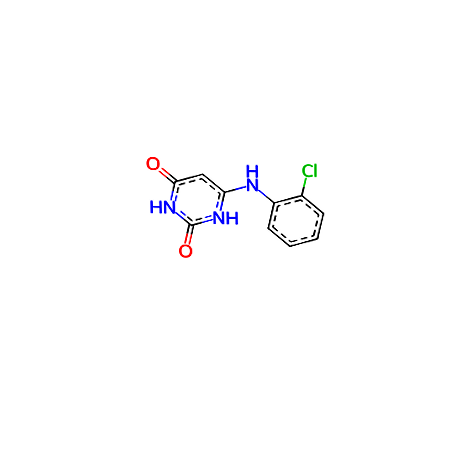 O=c1cc(Nc2ccccc2Cl)[nH]c(=O)[nH]1